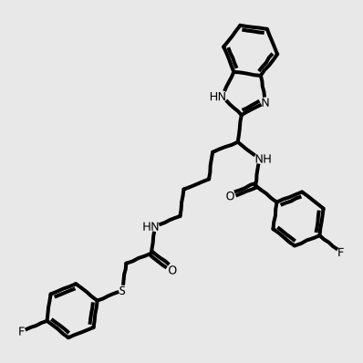 O=C(CSc1ccc(F)cc1)NCCCCC(NC(=O)c1ccc(F)cc1)c1nc2ccccc2[nH]1